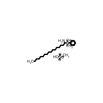 CCCCCCCCCCCCCCCCC(N)[N+](C)(C)c1ccccc1.COS(=O)(=O)O